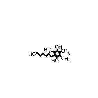 Cc1c(C)c(O)c(CCCCCCO)c(C)c1O